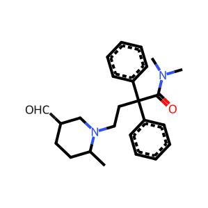 CC1CCC(C=O)CN1CCC(C(=O)N(C)C)(c1ccccc1)c1ccccc1